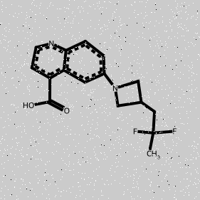 CC(F)(F)CC1CN(c2ccc3nccc(C(=O)O)c3c2)C1